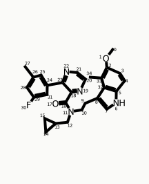 COc1ccc2[nH]cc(CCN(CC3CC3)C(=O)c3nccnc3-c3cc(C)cc(F)c3)c2c1C